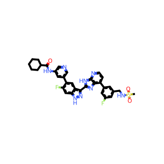 CS(=O)(=O)NCc1cc(F)cc(-c2ccnc3[nH]c(-c4n[nH]c5cc(F)c(-c6cncc(NC(=O)C7CCCCC7)c6)cc45)nc23)c1